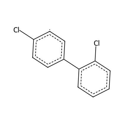 Clc1[c]cc(-c2ccccc2Cl)cc1